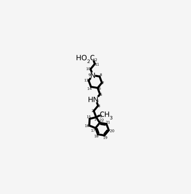 CC1(CCNCC2CCN(CCC(=O)O)CC2)CCc2ccccc21